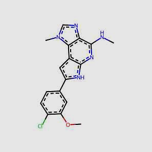 CNc1nc2[nH]c(-c3ccc(Cl)c(OC)c3)cc2c2c1ncn2C